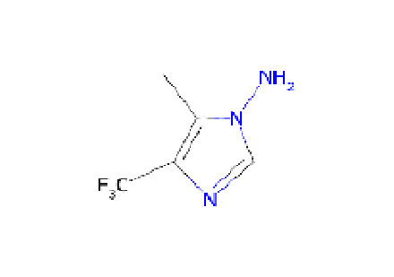 Cc1c(C(F)(F)F)ncn1N